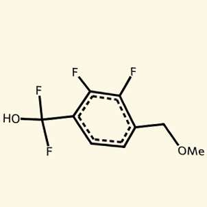 COCc1ccc(C(O)(F)F)c(F)c1F